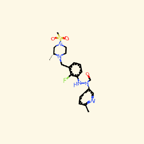 Cc1ccc(N(C=O)Nc2cccc(CN3CCN(S(C)(=O)=O)C[C@H]3C)c2F)cn1